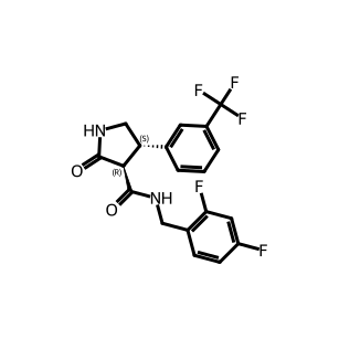 O=C(NCc1ccc(F)cc1F)[C@H]1C(=O)NC[C@@H]1c1cccc(C(F)(F)F)c1